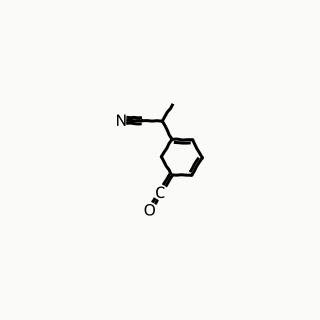 CC(C#N)C1=CC=CC(=C=O)C1